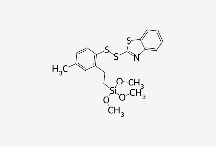 CO[Si](CCc1cc(C)ccc1SSc1nc2ccccc2s1)(OC)OC